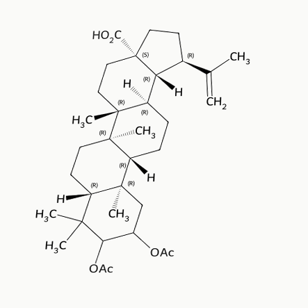 C=C(C)[C@@H]1CC[C@]2(C(=O)O)CC[C@]3(C)[C@H](CC[C@@H]4[C@@]5(C)CC(OC(C)=O)C(OC(C)=O)C(C)(C)[C@@H]5CC[C@]43C)[C@@H]12